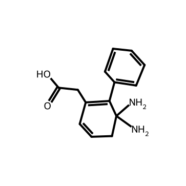 NC1(N)CC=CC(CC(=O)O)=C1c1ccccc1